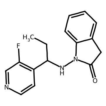 CCC(NN1C(=O)Cc2ccccc21)c1ccncc1F